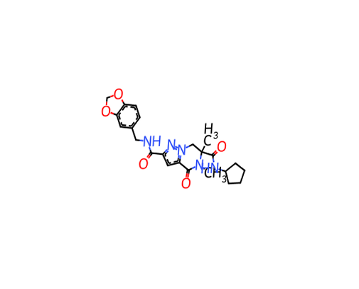 CN1C(=O)c2cc(C(=O)NCc3ccc4c(c3)OCO4)nn2CC1(C)C(=O)NC1CCCC1